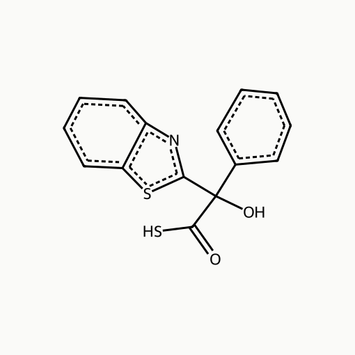 O=C(S)C(O)(c1ccccc1)c1nc2ccccc2s1